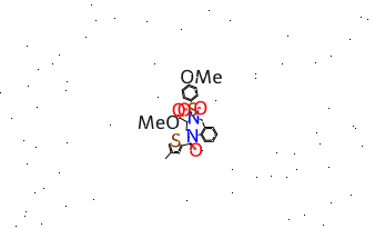 COC(=O)C1CN(C(=O)c2cc(C)cs2)c2ccccc2CN1S(=O)(=O)c1ccc(OC)cc1